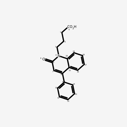 O=C(O)CCCn1c(=O)cc(-c2ccccc2)c2ccccc21